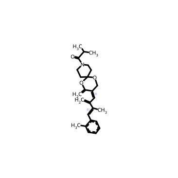 C=C1OC2(CCN(C(=O)C(C)C)CC2)OC/C1=C/C(=C)/C(C)=C/c1ccccc1C